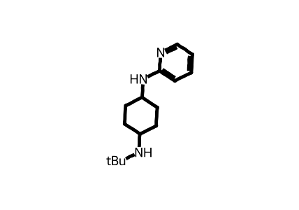 CC(C)(C)NC1CCC(Nc2ccccn2)CC1